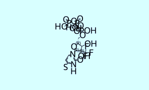 O=c1[nH]c(=S)ccn1[C@@H]1O[C@H](COP(=O)(O)OP(=O)(O)OP(=O)(O)O)C(O)[C@]1(O)C(F)(F)F